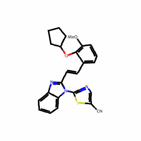 COc1cccc(C=Cc2nc3ccccc3n2-c2ncc(C#N)s2)c1OC1CCCC1